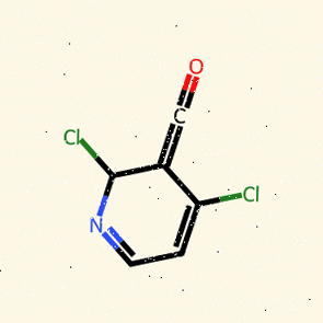 O=C=C1C(Cl)=CC=NC1Cl